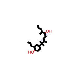 C=CCC(=C)/C(O)=C\C=C(/C)C(C)(C)c1ccc(O)c(CC=C)c1